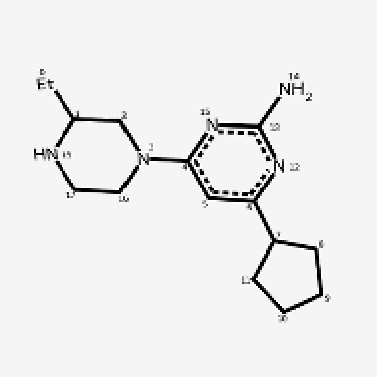 CCC1CN(c2cc(C3CCCC3)nc(N)n2)CCN1